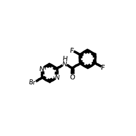 O=C(Nc1cnc(Br)cn1)c1cc(F)ccc1F